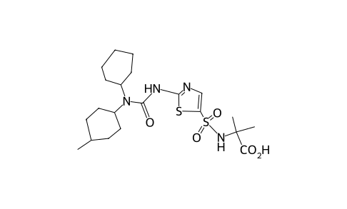 CC1CCC(N(C(=O)Nc2ncc(S(=O)(=O)NC(C)(C)C(=O)O)s2)C2CCCCC2)CC1